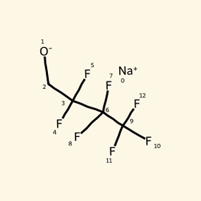 [Na+].[O-]CC(F)(F)C(F)(F)C(F)(F)F